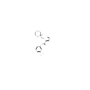 CC1(Cn2ncc(C(F)(F)F)c2C(=O)Nc2cccc(S(C)(=O)=O)c2)CCCCC1